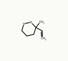 C=CC1(C)CCCOO1